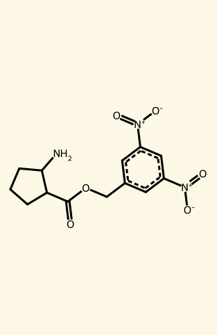 NC1CCCC1C(=O)OCc1cc([N+](=O)[O-])cc([N+](=O)[O-])c1